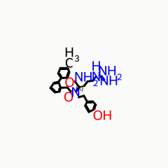 Cc1ccc(-c2ccccc2CC(=O)N(CCc2ccc(O)cc2)[C@H](CCCNC(=N)N)C(N)=O)cc1